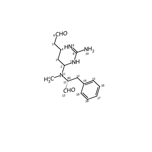 CN(C(CCCC=O)NC(=N)N)[C@@H](C=O)Cc1ccccc1